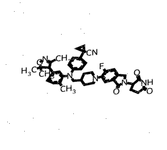 CC1=NOC(C)(C)C1c1ccc(C)c(N(CC2CCN(c3cc4c(cc3F)CN(C3CCC(=O)NC3=O)C4=O)CC2)c2ccc(C3(C#N)CC3)cc2)c1